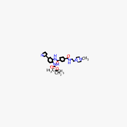 CN1CCN(CCNC(=O)c2ccc(C(=O)Nc3cc(-c4cccnc4)ccc3NC(=O)OC(C)(C)C)cc2)CC1